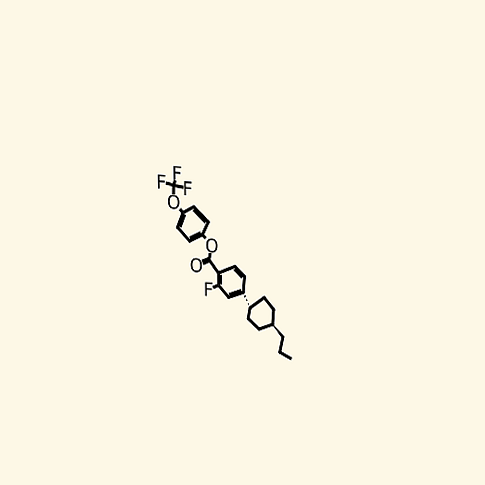 CCC[C@H]1CC[C@H](c2ccc(C(=O)Oc3ccc(OC(F)(F)F)cc3)c(F)c2)CC1